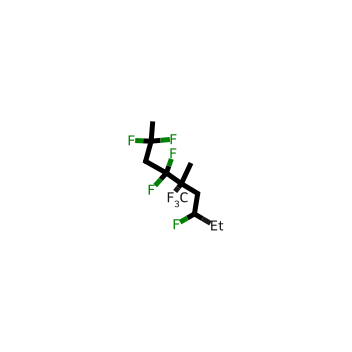 CCC(F)CC(C)(C(F)(F)F)C(F)(F)CC(C)(F)F